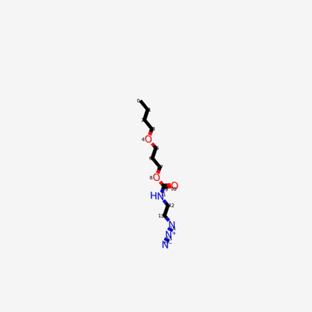 CCCCOCCCOC(=O)NCCN=[N+]=[N-]